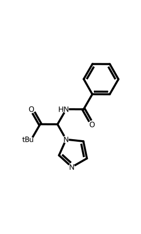 CC(C)(C)C(=O)C(NC(=O)c1ccccc1)n1ccnc1